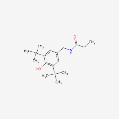 CCC(=O)NCc1cc(C(C)(C)C)c(O)c(C(C)(C)C)c1